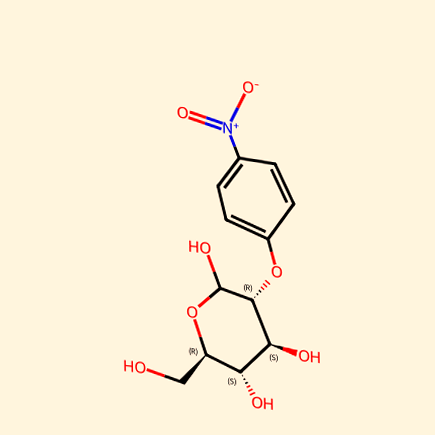 O=[N+]([O-])c1ccc(O[C@H]2C(O)O[C@H](CO)[C@@H](O)[C@@H]2O)cc1